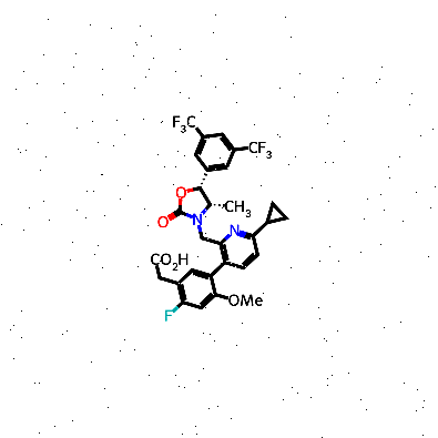 COc1cc(F)c(CC(=O)O)cc1-c1ccc(C2CC2)nc1CN1C(=O)O[C@H](c2cc(C(F)(F)F)cc(C(F)(F)F)c2)[C@@H]1C